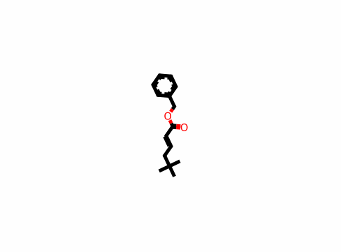 CC(C)(C)CC=CC(=O)OCc1ccccc1